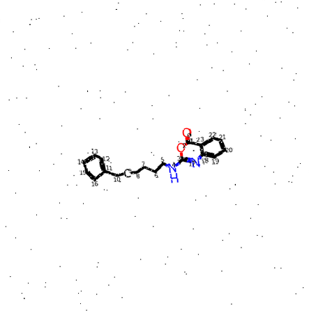 O=c1oc(NCCCCCCc2ccccc2)nc2ccccc12